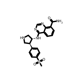 CS(=O)(=O)c1ccc([C@H]2CNC[C@@H]2Nc2ncnc3c(C(N)=O)cccc23)cc1